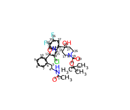 CC(=O)NCCc1ccccc1-c1onc([C@H]2CN(C(=O)OC(C)(C)C)CC[C@]2(O)c2ccc(F)c(F)c2)c1Cl